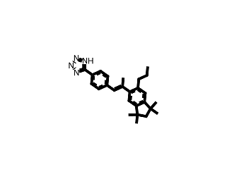 CCCc1cc2c(cc1/C(C)=C/c1ccc(-c3nnn[nH]3)cc1)C(C)(C)CC2(C)C